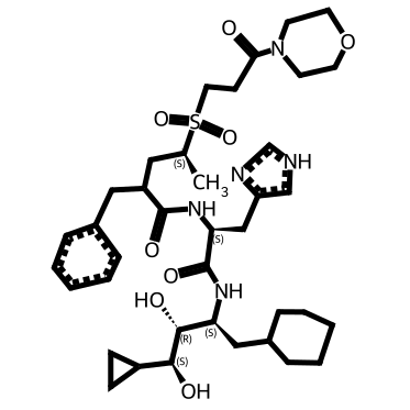 C[C@@H](CC(Cc1ccccc1)C(=O)N[C@@H](Cc1c[nH]cn1)C(=O)N[C@@H](CC1CCCCC1)[C@@H](O)[C@@H](O)C1CC1)S(=O)(=O)CCC(=O)N1CCOCC1